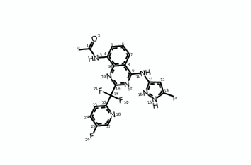 CC(=O)Nc1cccc2c(Nc3cc(C)[nH]n3)nc(C(F)(F)c3ccc(F)cn3)nc12